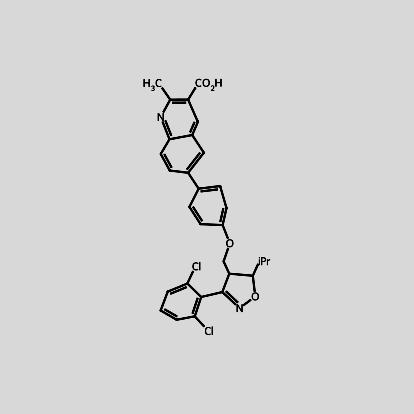 Cc1nc2ccc(-c3ccc(OCC4C(c5c(Cl)cccc5Cl)=NOC4C(C)C)cc3)cc2cc1C(=O)O